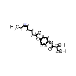 CC/C=C\CCCC(=O)Oc1ccc(OC(=O)C(O)CO)cc1